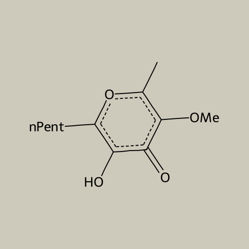 CCCCCc1oc(C)c(OC)c(=O)c1O